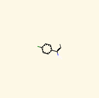 CCOC(=O)/C=C(/N)c1ccc(F)cc1